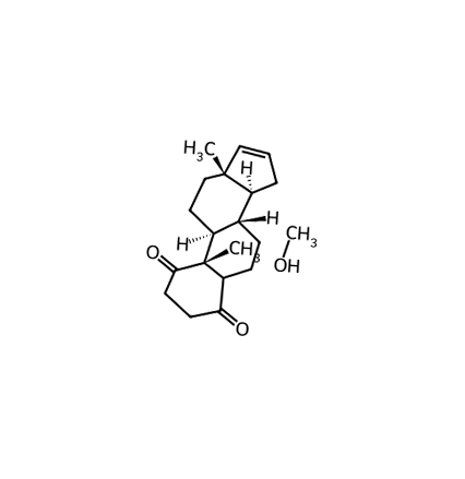 CO.C[C@@]12C=CC[C@H]1[C@@H]1CCC3C(=O)CCC(=O)[C@]3(C)[C@H]1CC2